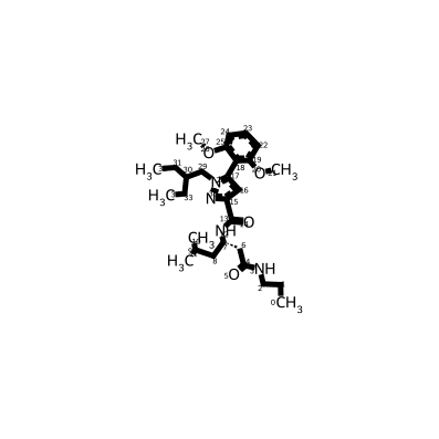 CCCNC(=O)C[C@H](CC(C)C)NC(=O)c1cc(-c2c(OC)cccc2OC)n(CC(CC)CC)n1